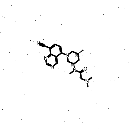 C[C@H]1C[C@@H](N(C)C(=O)CN(C)C)CN(c2ccc(C#N)c3ncncc23)C1